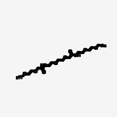 CCCOCCOCC(=O)NCCOCCOCC(=O)NCCOCCOCC(C)=O